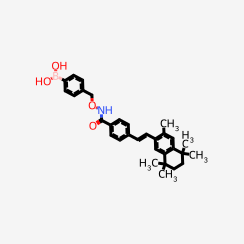 Cc1cc2c(cc1C=Cc1ccc(C(=O)NOCc3ccc(B(O)O)cc3)cc1)C(C)(C)CCC2(C)C